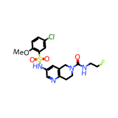 COc1ccc(Cl)cc1S(=O)(=O)Nc1cnc2c(c1)CN(C(=O)NCCF)CC2